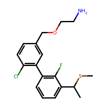 CSC(C)c1cccc(-c2cc(COCCN)ccc2Cl)c1F